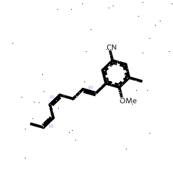 C/C=C\C=C/C/C=C/c1cc(C#N)cc(C)c1OC